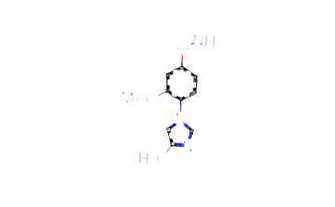 COc1cc(ON)ccc1-n1cnc(C)c1